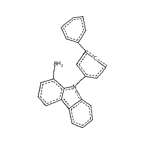 Bc1cccc2c3ccccc3n(-c3cccc(-c4ccccc4)c3)c12